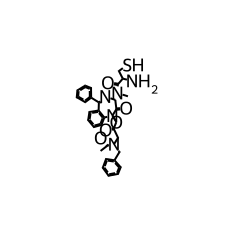 CC(=O)N(CC(=O)ON1C(=O)C(N(C)C(=O)C(N)CS)N=C(c2ccccc2)c2ccccc21)Cc1ccccc1